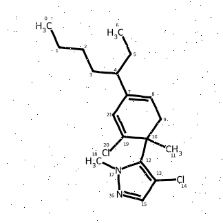 CCCCC(CC)C1=CCC(C)(c2c(Cl)cnn2C)C(Cl)=C1